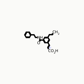 C=CCc1cc(/C=C/C(=O)O)cc(C(=O)NCCc2ccccc2)c1